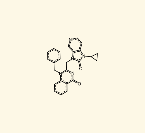 O=c1nc(Cn2c(=O)n(C3CC3)c3ccncc32)n(Cc2ccccc2)c2ccccc12